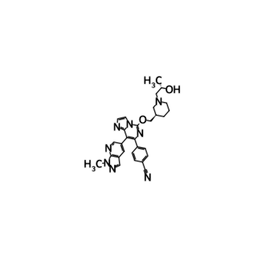 C[C@H](O)CN1CCC[C@@H](COc2nc(-c3ccc(C#N)cc3)c(-c3cnc4c(cnn4C)c3)c3nccn23)C1